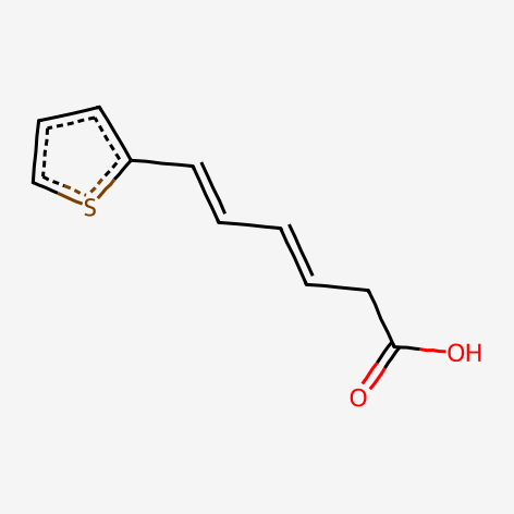 O=C(O)C/C=C/C=C/c1cccs1